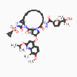 COc1ccc2c(O[C@@H]3C[C@H]4C(=O)N[C@]5(C(=O)NS(=O)(=O)C6CC6)CC5/C=C\CCCCC[C@H](NC(=O)C5CC=C(C(C)(C)O)S5)C(=O)N4C3)cc(OC(C)C)nc2c1C